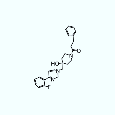 O=C(CCc1ccccc1)N1CCC(O)(CN2C=CC(c3ccccc3F)=NC2)CC1